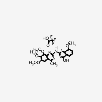 COc1cc2c(C)nc(Nc3nc(O)c4cccc(OC)c4n3)nc2c(OC)c1OC.O=C(O)C(F)(F)F